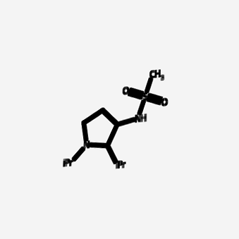 CC(C)C1C(NS(C)(=O)=O)CCN1C(C)C